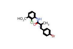 C/C(=C\c1ccc(Br)cc1)C(=O)Nc1cccc(C(=O)O)c1Cl